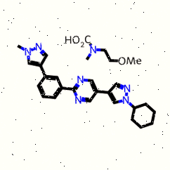 COCCN(C)C(=O)O.Cn1cc(-c2cccc(-c3ncc(-c4cnn(C5CCCCC5)c4)cn3)c2)cn1